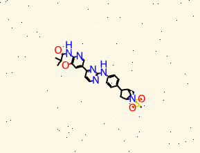 CC1(C)Oc2cc(-c3ccnc(Nc4ccc(C5CC6CC5CN6S(C)(=O)=O)cc4)n3)cnc2NC1=O